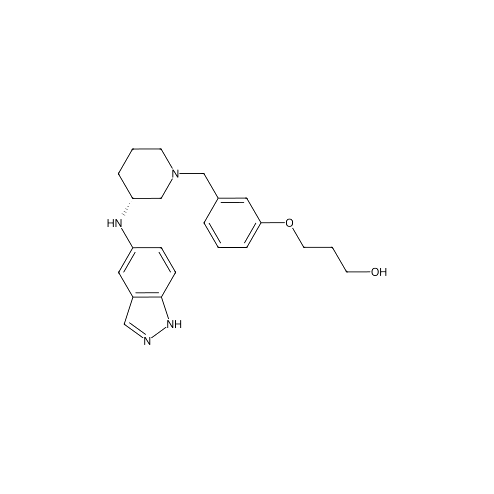 OCCCOc1cccc(CN2CCC[C@@H](Nc3ccc4[nH]ncc4c3)C2)c1